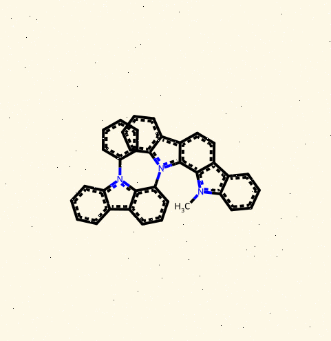 Cn1c2ccccc2c2ccc3c4ccccc4n(-c4cccc5c6ccccc6n(-c6ccccc6)c45)c3c21